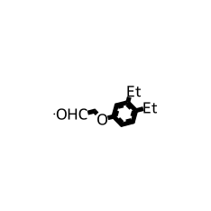 CCc1ccc(OC[C]=O)cc1CC